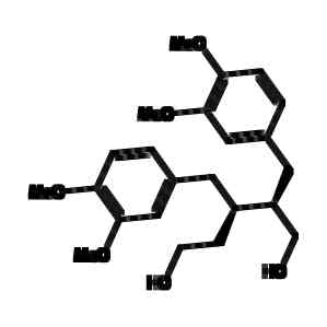 COc1ccc(C[C@@H](CO)[C@@H](CCO)Cc2ccc(OC)c(OC)c2)cc1OC